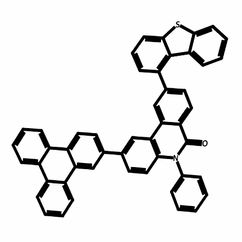 O=c1c2ccc(-c3cccc4sc5ccccc5c34)cc2c2cc(-c3ccc4c5ccccc5c5ccccc5c4c3)ccc2n1-c1ccccc1